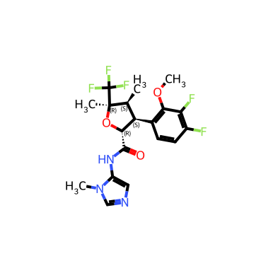 COc1c([C@H]2[C@H](C(=O)Nc3cncn3C)O[C@@](C)(C(F)(F)F)[C@H]2C)ccc(F)c1F